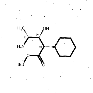 C[C@@H](N)[C@H](O)[C@@H](C(=O)OC(C)(C)C)C1CCCCC1